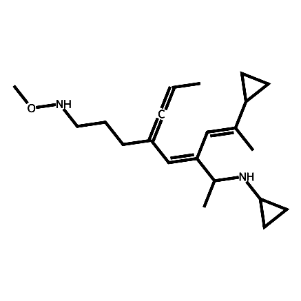 CC=C=C(/C=C(\C=C(/C)C1CC1)C(C)NC1CC1)CCCNOC